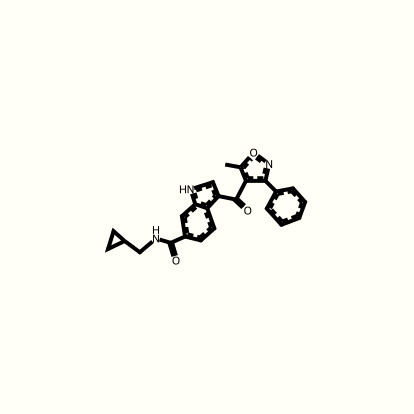 Cc1onc(-c2ccccc2)c1C(=O)c1c[nH]c2cc(C(=O)NCC3CC3)ccc12